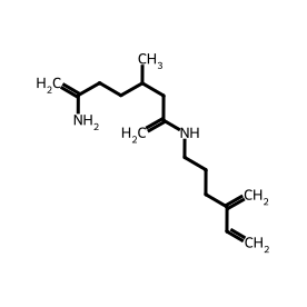 C=CC(=C)CCCNC(=C)CC(C)CCC(=C)N